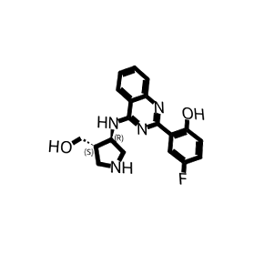 OC[C@H]1CNC[C@@H]1Nc1nc(-c2cc(F)ccc2O)nc2ccccc12